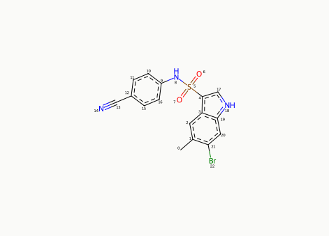 Cc1cc2c(S(=O)(=O)Nc3ccc(C#N)cc3)c[nH]c2cc1Br